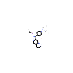 CCN(CC)c1ccc(C(NC(=O)C(C)C)c2ccc3cccnc3c2O)cc1